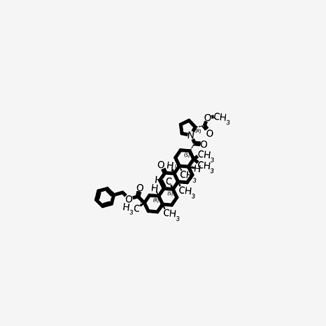 COC(=O)[C@H]1CCCN1C(=O)[C@H]1CC[C@]2(C)[C@H]3C(=O)C=C4[C@@H]5C[C@@](C)(C(=O)OCc6ccccc6)CC[C@]5(C)CC[C@@]4(C)[C@]3(C)CC[C@H]2C1(C)C